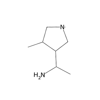 CC(N)C1C[N]CC1C